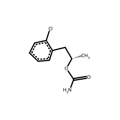 C[C@@H](Cc1ccccc1Cl)OC(N)=O